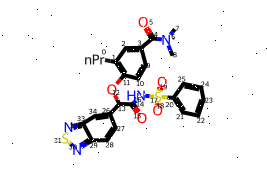 CCCc1cc(C(=O)N(C)C)ccc1OC(C(=O)NS(=O)(=O)c1ccccc1)c1ccc2nsnc2c1